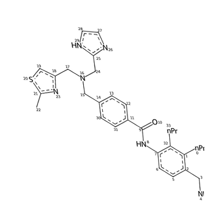 CCCc1c(CN)ccc(NC(=O)c2ccc(CN(Cc3csc(C)n3)Cc3ncc[nH]3)cc2)c1CCC